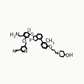 Cc1c(OCCCN2CCC(O)CC2)cccc1-c1cccc2c1C[C@H](F)[C@@H]2Oc1cc(OCc2cncc(C#N)c2)c(CN)cc1Cl